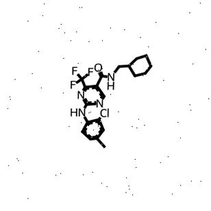 Cc1ccc(Nc2ncc(C(=O)NCC3CCCCC3)c(C(F)(F)F)n2)c(Cl)c1